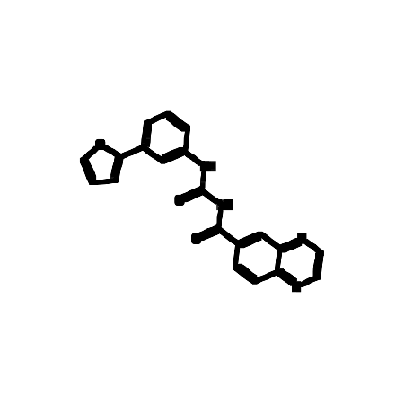 O=C(NC(=O)c1ccc2nccnc2c1)Nc1cccc(-c2ccco2)c1